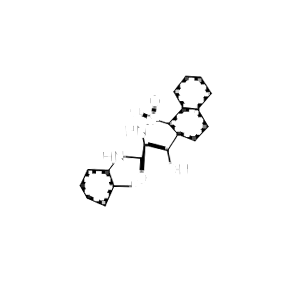 O=C(Nc1ccccc1F)C1=C(O)c2ccc3ccccc3c2S(=O)(=O)N1